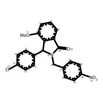 COc1cccc2c1C(c1ccc(Cl)cc1)N(Cc1ccc([N+](=O)[O-])cc1)C2=O